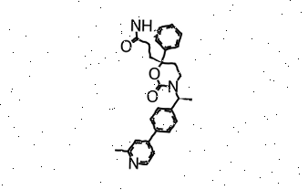 Cc1cc(-c2ccc([C@H](C)N3CC[C@@](CCC(N)=O)(c4ccccc4)OC3=O)cc2)ccn1